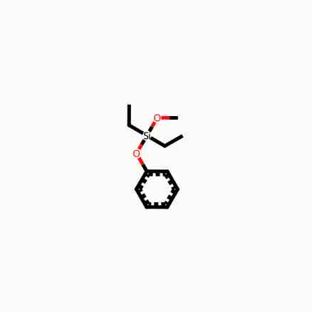 CC[Si](CC)(OC)Oc1ccccc1